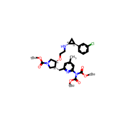 Cc1cc(C[C@@H]2CN(C(=O)OC(C)(C)C)C[C@@H]2OCCN[C@@H]2C[C@H]2c2cccc(Cl)c2)nc(N(C(=O)OC(C)(C)C)C(=O)OC(C)(C)C)c1